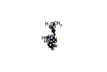 CC(C)OS(=O)N1CC(CNc2nonc2/C(=N/O)Nc2ccc(F)c(Br)c2)C1